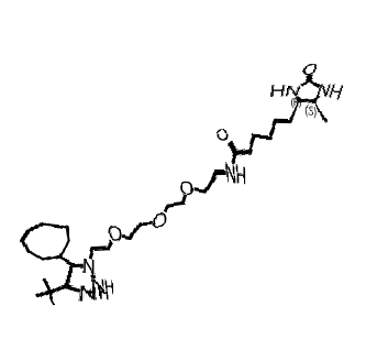 C[C@@H]1NC(=O)N[C@@H]1CCCCCC(=O)NCCOCCOCCOCCN1NNC(C(C)(C)C)C1C1CCCCCCC1